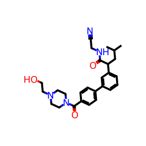 CC(C)CC(C(=O)NCC#N)c1cccc(-c2ccc(C(=O)N3CCN(CCO)CC3)cc2)c1